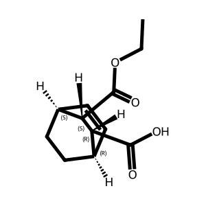 CCOC(=O)[C@@H]1[C@H](C(=O)O)[C@H]2C=C[C@@H]1CC2